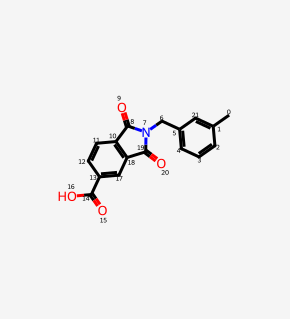 Cc1cccc(CN2C(=O)c3ccc(C(=O)O)cc3C2=O)c1